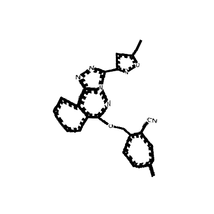 Cc1ccc(COc2nn3c(-c4cc(C)on4)nnc3c3ccccc23)c(C#N)c1